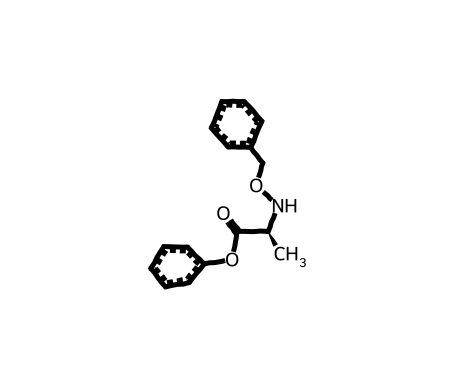 C[C@H](NOCc1ccccc1)C(=O)Oc1ccccc1